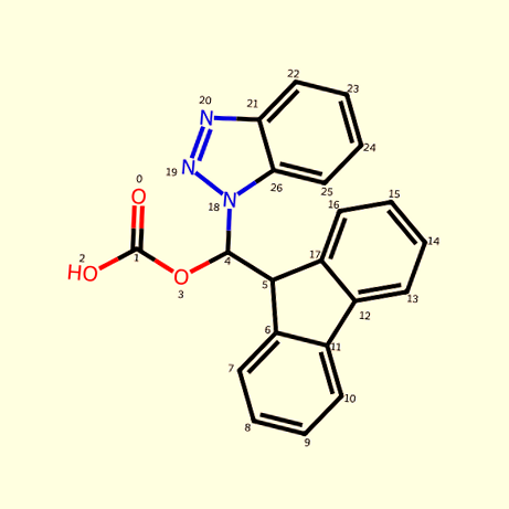 O=C(O)OC(C1c2ccccc2-c2ccccc21)n1nnc2ccccc21